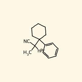 CCCC(C)(C#N)C1(c2ccccc2)CCCCC1